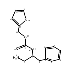 NCC(Cc1ccccc1)NC(=O)OCc1cccs1